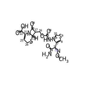 CO/N=C(\C(N)=O)c1csc[n+]1NC(=O)OCC1C(=O)N2C(C(=O)O)=CCS[C@@H]12